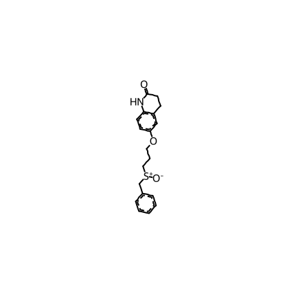 O=C1CCc2cc(OCCC[S+]([O-])Cc3ccccc3)ccc2N1